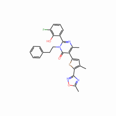 Cc1nc(-c2sc(-c3c(C)nc(-c4cccc(F)c4O)n(CCc4ccccc4)c3=O)cc2C)no1